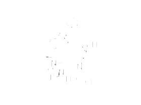 CC(C)CN1CCN(C)C2COc3ccccc3-c3c(C4CCCCC4)c4ccc(cc4n3C2)C(=O)NS(=O)(=O)N(C)CC1